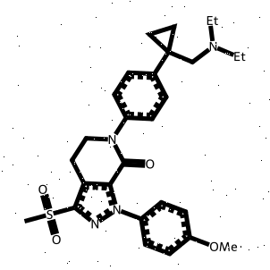 CCN(CC)CC1(c2ccc(N3CCc4c(S(C)(=O)=O)nn(-c5ccc(OC)cc5)c4C3=O)cc2)CC1